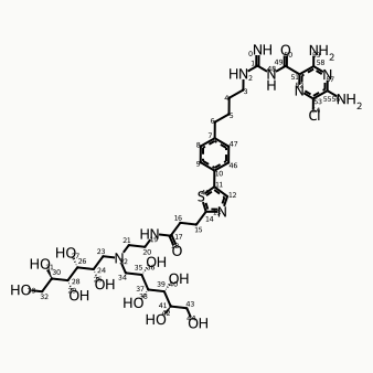 N=C(NCCCCc1ccc(-c2cnc(CCC(=O)NCCN(C[C@H](O)[C@@H](O)[C@H](O)[C@H](O)CO)C[C@H](O)[C@@H](O)[C@H](O)[C@H](O)CO)s2)cc1)NC(=O)c1nc(Cl)c(N)nc1N